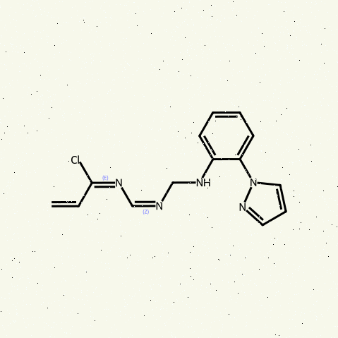 C=C/C(Cl)=N\C=N/CNc1ccccc1-n1cccn1